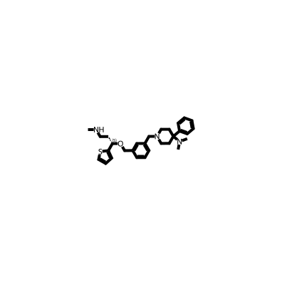 CNCC[C@H](OCc1cccc(CN2CCC(c3ccccc3)(N(C)C)CC2)c1)c1cccs1